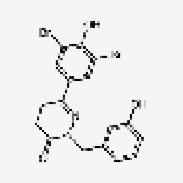 O=C1CCC(c2cc(Br)c(O)c(Br)c2)=NN1Cc1cccc(O)c1